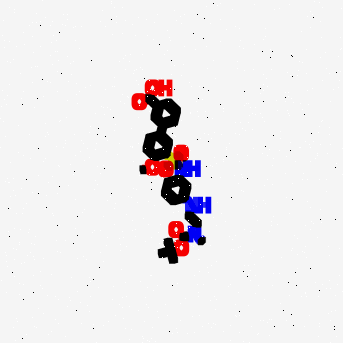 COc1ccc(-c2cccc(C(=O)O)c2)cc1S(=O)(=O)Nc1cccc(NCCN(C)C(=O)OC(C)(C)C)c1